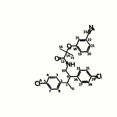 CC(c1ccc(Cl)cc1)C(CNC(=O)C(C)(C)Oc1cccc(C#N)c1)c1ccc(Cl)cc1